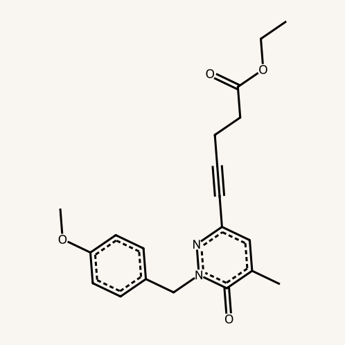 CCOC(=O)CCC#Cc1cc(C)c(=O)n(Cc2ccc(OC)cc2)n1